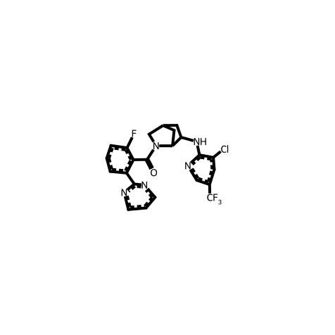 O=C(c1c(F)cccc1-c1ncccn1)N1CC2CC(Nc3ncc(C(F)(F)F)cc3Cl)C1C2